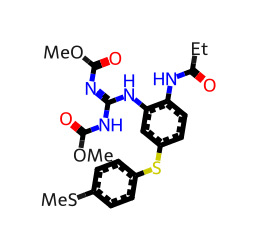 CCC(=O)Nc1ccc(Sc2ccc(SC)cc2)cc1NC(=NC(=O)OC)NC(=O)OC